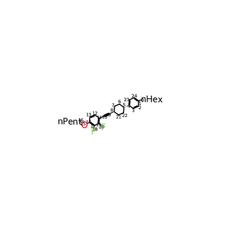 CCCCCCc1ccc([C@H]2CC[C@H](C#Cc3ccc(OCCCCC)c(F)c3F)CC2)cc1